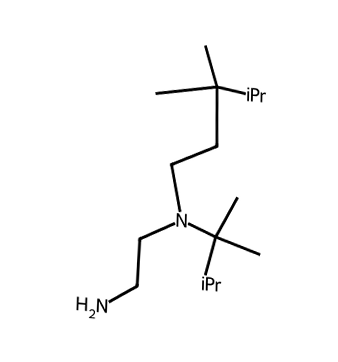 CC(C)C(C)(C)CCN(CCN)C(C)(C)C(C)C